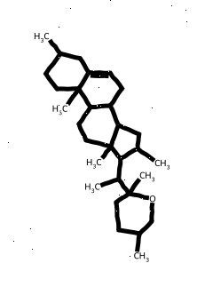 CC1CCC(C)(C(C)C2C(C)CC3C4CC=C5CC(C)CCC5(C)C4CCC32C)OC1